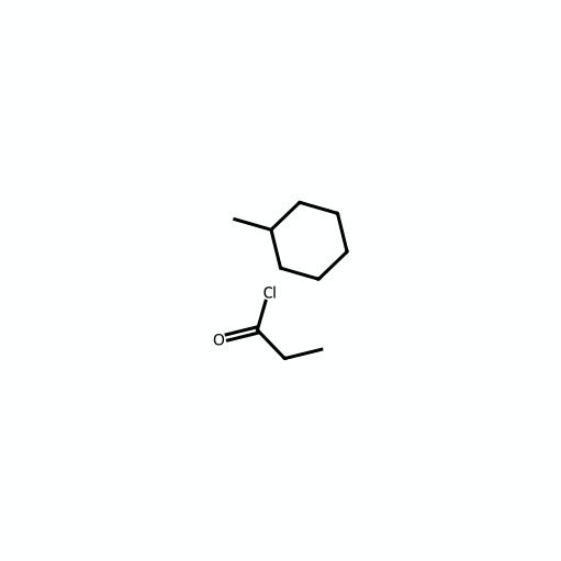 CC1CCCCC1.CCC(=O)Cl